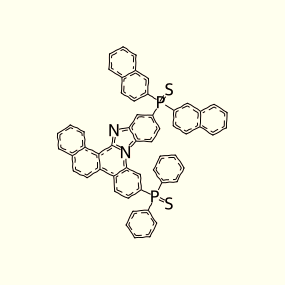 S=P(c1ccc2ccccc2c1)(c1ccc2ccccc2c1)c1ccc2c(c1)nc1c3c4ccccc4ccc3c3ccc(P(=S)(c4ccccc4)c4ccccc4)cc3n21